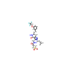 O=C1N[C@@H](CCc2cccc(OCC(F)(F)F)c2)Cc2nn(CCC3CC3)c(CNC(=O)C3CS(=O)(=O)C3)c21